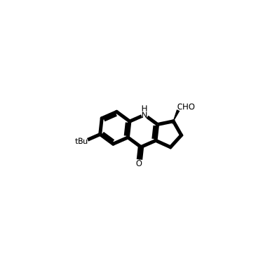 CC(C)(C)c1ccc2[nH]c3c(c(=O)c2c1)CC[C@@H]3C=O